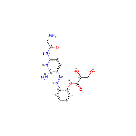 NCC(=O)Nc1ccc(/N=N/c2ccccc2OC(=O)[C@@H](O)CO)c(N)n1